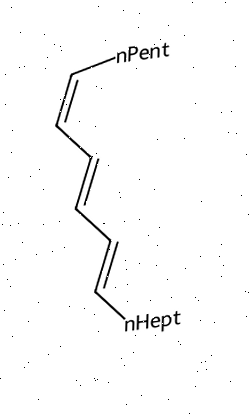 [CH2]CCCCCC/C=C/C=C/C=C\CCCCC